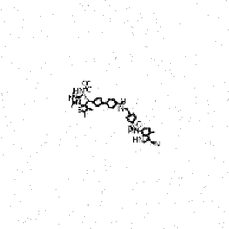 COC(=O)NC1N=C(c2ccc(-c3ccc(C(=O)NCc4ccc(S(=O)(=O)Nc5ccc(C)c6c(C#N)c[nH]c56)cc4)cc3)cc2)c2c(sc(C)c2C)-n2c(C)nnc21